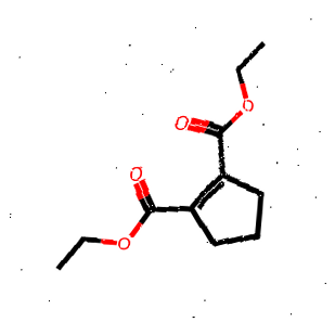 CCOC(=O)C1=C(C(=O)OCC)CCC1